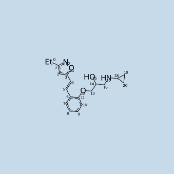 CCc1cc(C=Cc2ccccc2OCC(O)CNC2CC2)on1